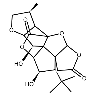 C[C@@H]1COC2C1C13OC4OC(=O)CC45[C@H](C(C)(C)C)[C@@H](O)C(OC1=O)C35[C@H]2O